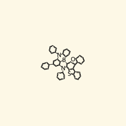 c1ccc(-c2cc3c4c(c2)N(c2ccccc2)c2c(c5oc6ccccc6c5c5c2sc2ccccc25)B4c2ccccc2N3c2ccccc2)cc1